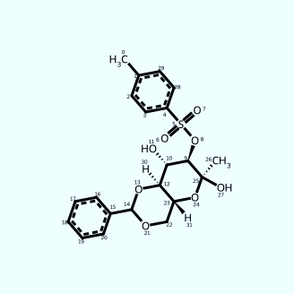 Cc1ccc(S(=O)(=O)O[C@@H]2[C@@H](O)[C@@H]3OC(c4ccccc4)OC[C@H]3O[C@]2(C)O)cc1